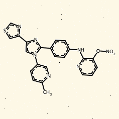 Cc1ccc(-n2cc(-c3cscn3)nc2-c2ccc(Nc3ncccc3O[N+](=O)[O-])cc2)cn1